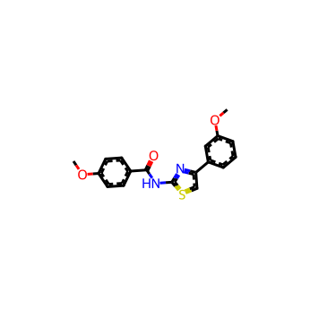 COc1ccc(C(=O)Nc2nc(-c3cccc(OC)c3)cs2)cc1